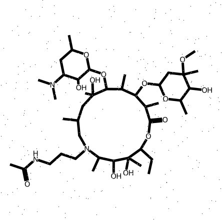 CCC1OC(=O)C(C)C(OC2CC(C)(OC)C(O)C(C)O2)C(C)C(OC2OC(C)CC(N(C)C)C2O)C(C)(O)CC(C)CN(CCCNC(C)=O)C(C)C(O)C1(C)O